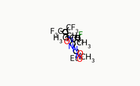 CCN(C1CCN(c2cc(-c3ccc(F)cc3C)c(N(C)C(=O)C(C)(C)c3cc(C(F)(F)F)cc(C(F)(F)F)c3)cn2)CC1)S(C)(=O)=O